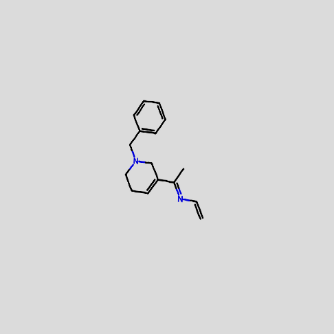 C=C/N=C(\C)C1=CCCN(Cc2ccccc2)C1